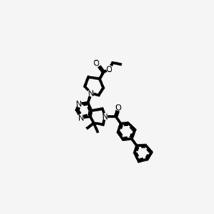 CCOC(=O)C1CCN(c2ncnc3c2CN(C(=O)c2ccc(-c4ccccc4)cc2)CC3(C)C)CC1